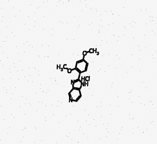 COc1ccc(-c2nc3cnccc3[nH]2)c(OC)c1.Cl